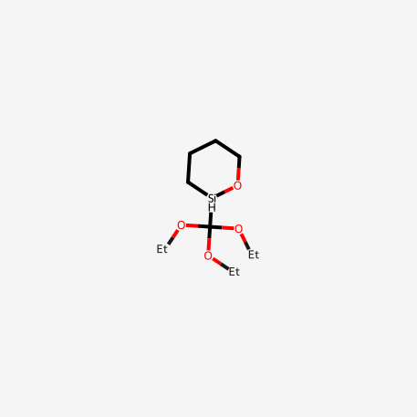 CCOC(OCC)(OCC)[SiH]1CCCCO1